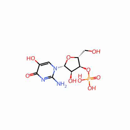 Nc1nc(=O)c(O)cn1[C@@H]1O[C@H](CO)[C@@H](OP(=O)(O)O)[C@H]1O